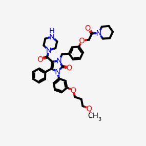 COCCCOc1cccc(-n2c(-c3ccccc3)c(C(=O)N3CCNCC3)n(Cc3cccc(OCC(=O)N4CCCCC4)c3)c2=O)c1